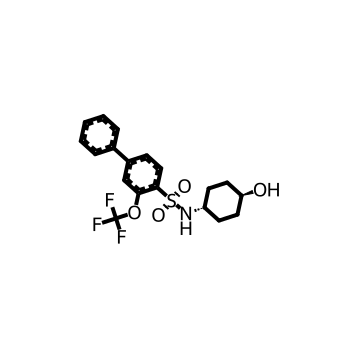 O=S(=O)(N[C@H]1CC[C@H](O)CC1)c1ccc(-c2ccccc2)cc1OC(F)(F)F